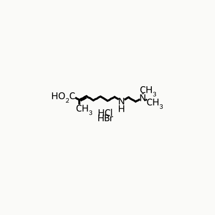 Br.CC(=CCCCCNCCN(C)C)C(=O)O.Cl